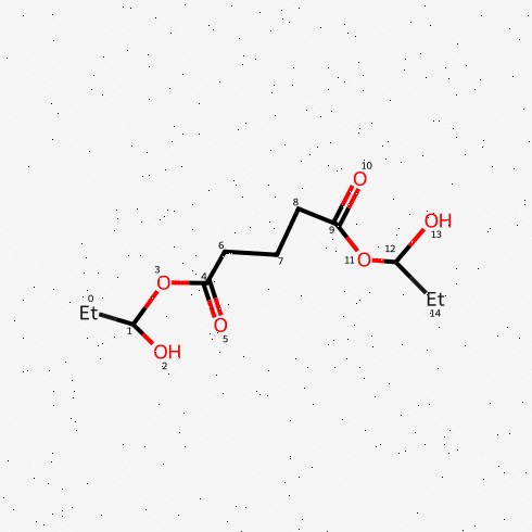 CCC(O)OC(=O)CCCC(=O)OC(O)CC